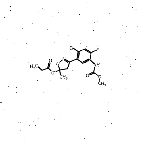 CCC(=O)OC1(C)CC(c2cc(NC(=O)OC)c(F)cc2Cl)=NO1